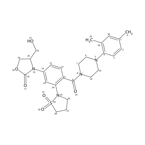 Cc1ccc(N2CCN(C(=O)c3ccc(N4C(=O)OCC4CO)cc3N3CCCS3(=O)=O)CC2)c(C)c1